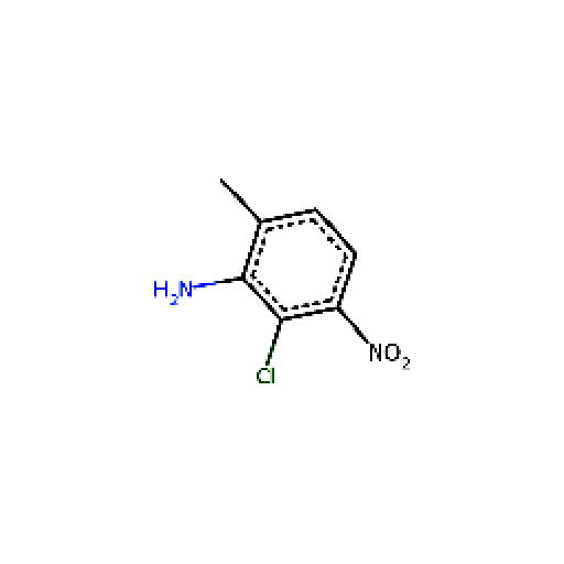 Cc1ccc([N+](=O)[O-])c(Cl)c1N